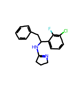 Fc1c(Cl)cccc1C(Cc1ccccc1)NC1=NCCC1